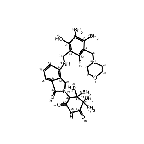 Bc1c(B)c(CN2CCOCC2)c(F)c(CNc2cccc3c2CN(C2C(=O)NC(=O)C(B)(B)C2(B)B)C3=O)c1O